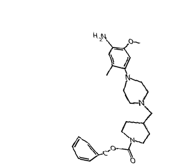 COc1cc(N2CCN(CC3CCN(C(=O)OCc4ccccc4)CC3)CC2)c(C)cc1N